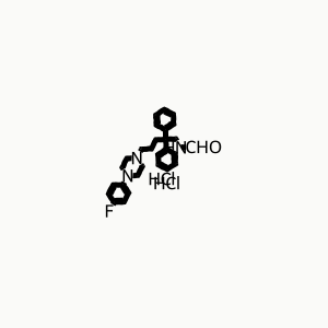 Cl.Cl.O=CNCC(CCCN1CCN(c2ccc(F)cc2)CC1)(c1ccccc1)c1ccccc1